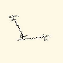 [CH2]CCC(CCCCCCCCCCOC(=O)C(=C)C)C(C)(CCCCCCCCCCOC(=O)C(=C)C)[C](C)C